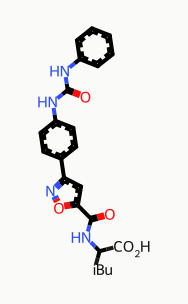 CCC(C)C(NC(=O)c1cc(-c2ccc(NC(=O)Nc3ccccc3)cc2)no1)C(=O)O